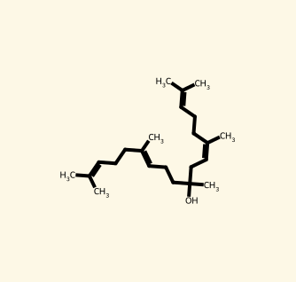 CC(C)=CCCC(C)=CCCC(C)(O)CC=C(C)CCC=C(C)C